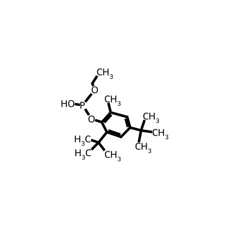 CCOP(O)Oc1c(C)cc(C(C)(C)C)cc1C(C)(C)C